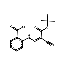 CC(C)(C)OC(=O)C(C#N)=CNc1ccccc1C(=O)O